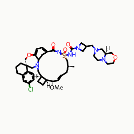 CO[C@H]1/C=C/C[C@H](C)CS(=O)(NC(=O)N2CC(CN3CCN4CCOC[C@@H]4C3)C2)=NC(=O)C2=CC=C3OC[C@]4(CCCc5cc(Cl)ccc54)CN(C[C@@H]4CC[C@H]41)C3C2